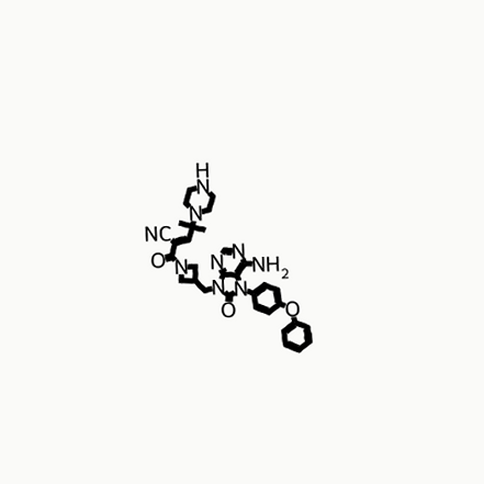 CC(C)(C=C(C#N)C(=O)N1CC(Cn2c(=O)n(-c3ccc(Oc4ccccc4)cc3)c3c(N)ncnc32)C1)N1CCNCC1